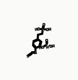 O=P(O)(O)CCc1ccc(N=C=S)cc1.O=[PH](O)O